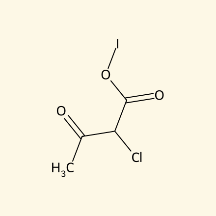 CC(=O)C(Cl)C(=O)OI